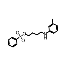 Cc1cccc(NCCCCOS(=O)(=O)c2ccccc2)c1